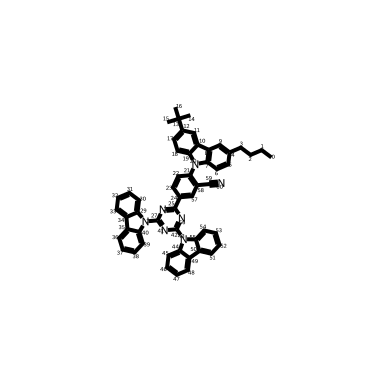 CCCCc1ccc2c(c1)c1cc(C(C)(C)C)ccc1n2-c1ccc(-c2nc(-n3c4ccccc4c4ccccc43)nc(-n3c4ccccc4c4ccccc43)n2)cc1C#N